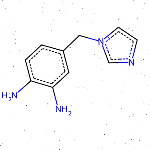 Nc1ccc(Cn2ccnc2)cc1N